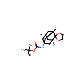 CC(C)(C)OC(=O)N[C@]12C[C@@H]3C[C@H](C1)C1(OCCO1)[C@@H](C3)C2